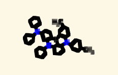 Cc1ccc(N2c3ccc(C)cc3B3c4ccc(N(C5=CC=CCC5)c5ccccc5)cc4N(c4ccccc4)c4cccc2c43)cc1